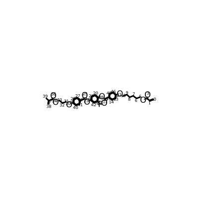 C=CC(=O)OCCCCCCOc1ccc(C(=O)Oc2ccc(OC(=O)c3ccc(OCCCOC(=O)C(=C)C)cc3)cc2F)cc1